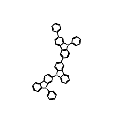 c1ccc(-c2ccc3c4cc(-c5ccc6c(c5)c5ccccc5n6-c5ccc6c7ccccc7n(-c7ccccc7)c6c5)ccc4n(-c4ccccc4)c3c2)cc1